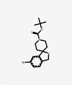 CC(C)(C)OC(=O)N1CCC2(CC1)OCc1ccc(Br)cc12